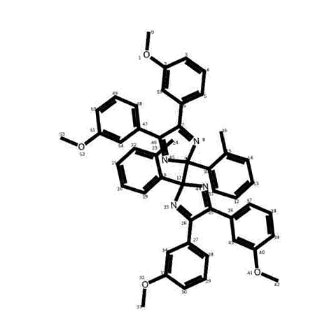 COc1cccc(C2=NC(c3ccccc3C)(C3(c4ccccc4C)N=C(c4cccc(OC)c4)C(c4cccc(OC)c4)=N3)N=C2c2cccc(OC)c2)c1